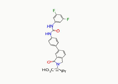 CC(C)[C@@H](C(=O)O)N1Cc2ccc(-c3ccc(NC(=O)Nc4cc(F)cc(F)c4)cc3)cc2C1=O